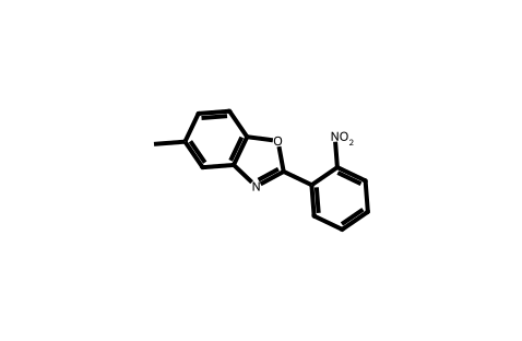 Cc1ccc2oc(-c3ccccc3[N+](=O)[O-])nc2c1